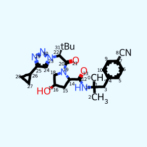 CC(C)(Cc1ccc(C#N)cc1)NC(=O)C1CC(O)CN1C(=O)[C@@H](n1cc(C2CC2)nn1)C(C)(C)C